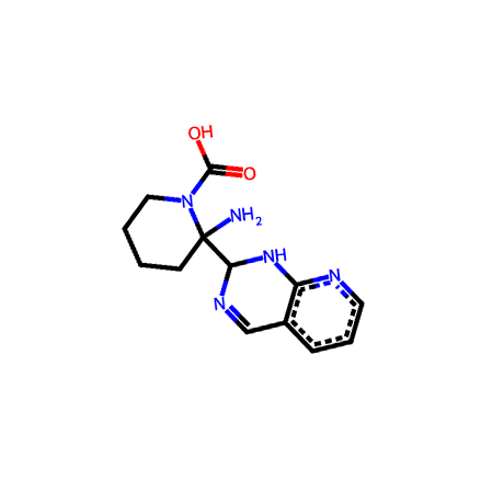 NC1(C2N=Cc3cccnc3N2)CCCCN1C(=O)O